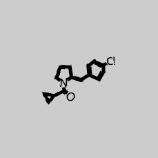 O=C(C1CC1)N1CCCC1Cc1ccc(Cl)cc1